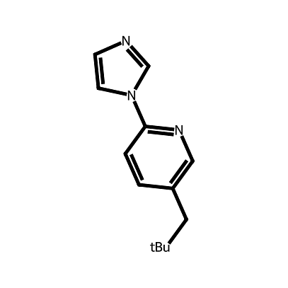 CC(C)(C)Cc1ccc(-n2ccnc2)nc1